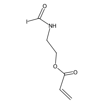 C=CC(=O)OCCNC(=O)I